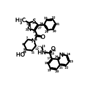 Cc1nc(C(=O)N2CC[C@@H](O)C[C@H]2CNC(=O)c2cccc3cccnc23)c(-c2ccccc2)s1